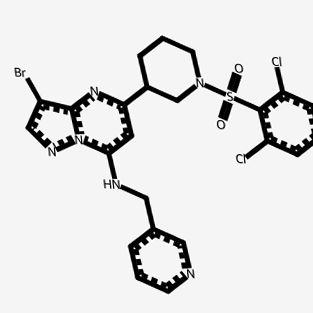 O=S(=O)(c1c(Cl)cccc1Cl)N1CCCC(c2cc(NCc3cccnc3)n3ncc(Br)c3n2)C1